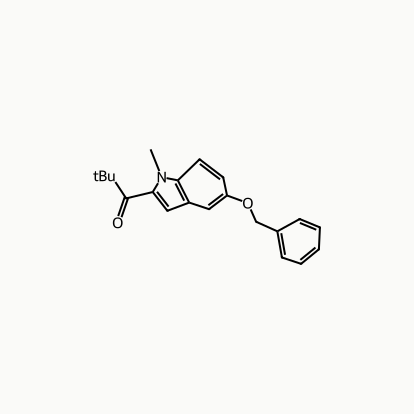 Cn1c(C(=O)C(C)(C)C)cc2cc(OCc3ccccc3)ccc21